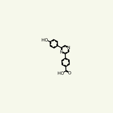 O=C(O)c1ccc(-c2cncc(-c3ccc(O)cc3)n2)cc1